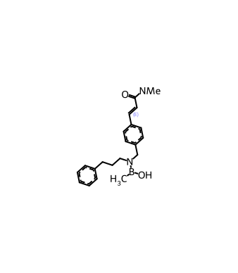 CNC(=O)/C=C/c1ccc(CN(CCCc2ccccc2)B(C)O)cc1